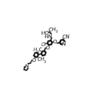 Cc1c(COc2cc(OCc3cncc(C#N)c3)c(CNCC(C)O)cc2Cl)cccc1-c1cccc(OCCCN2CCCC2)c1C